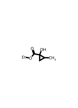 CCOC(=O)C1(O)CC1C